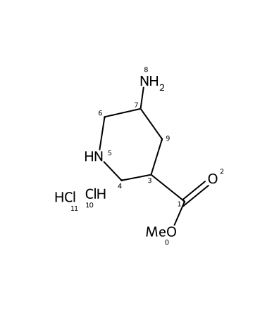 COC(=O)C1CNCC(N)C1.Cl.Cl